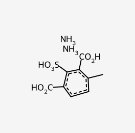 Cc1ccc(C(=O)O)c(S(=O)(=O)O)c1C(=O)O.N.N